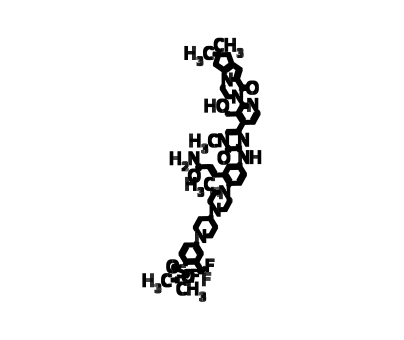 CC(C)S(=O)(=O)c1ccc(N2CCC(N3CCN(c4ccc(Nc5nc(-c6ccnc(N7CCn8c(cc9c8CC(C)(C)C9)C7=O)c6CO)cn(C)c5=O)cc4C=CC(N)=O)[C@@H](C)C3)CC2)cc1C(F)(F)F